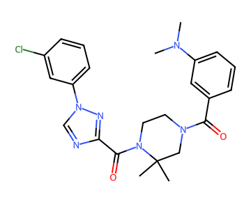 CN(C)c1cccc(C(=O)N2CCN(C(=O)c3ncn(-c4cccc(Cl)c4)n3)C(C)(C)C2)c1